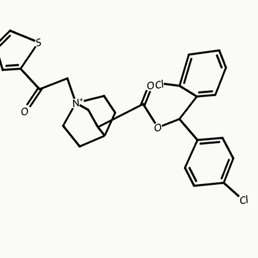 O=C(C[N+]12CCC(CC1)C(C(=O)OC(c1ccc(Cl)cc1)c1ccccc1Cl)C2)c1cccs1